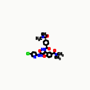 CN(C)C(=O)c1ccc2oc(C(=O)Nc3ccc(Cl)cn3)c(NC(=O)[C@H]3CC[C@H](C(=O)N(C)C)CC3)c2c1